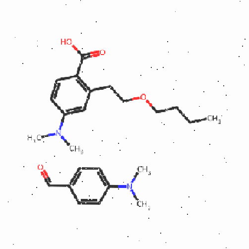 CCCCOCCc1cc(N(C)C)ccc1C(=O)O.CN(C)c1ccc(C=O)cc1